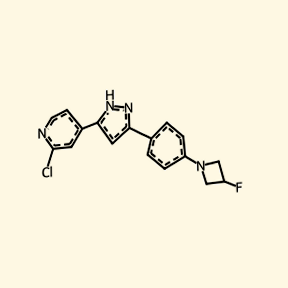 FC1CN(c2ccc(-c3cc(-c4ccnc(Cl)c4)[nH]n3)cc2)C1